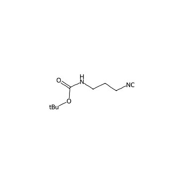 [C-]#[N+]CCCNC(=O)OC(C)(C)C